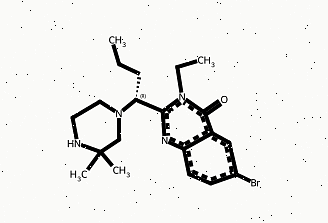 CCC[C@H](c1nc2ccc(Br)cc2c(=O)n1CC)N1CCNC(C)(C)C1